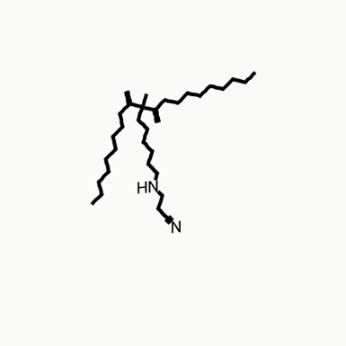 C=C(CCCCCCCCC)C(C)(CCCCCCNCCC#N)C(=C)CCCCCCCCC